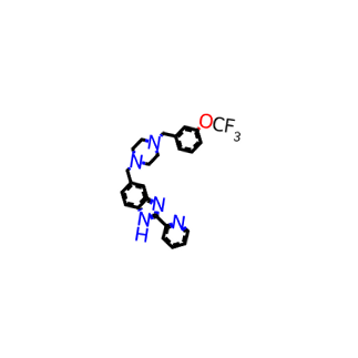 FC(F)(F)Oc1cccc(CN2CCN(Cc3ccc4[nH]c(-c5ccccn5)nc4c3)CC2)c1